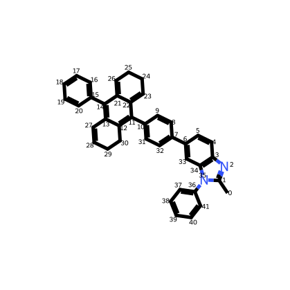 Cc1nc2ccc(-c3ccc(-c4c5c(c(-c6ccccc6)c6c4=CCCC=6)C=CCC5)cc3)cc2n1-c1ccccc1